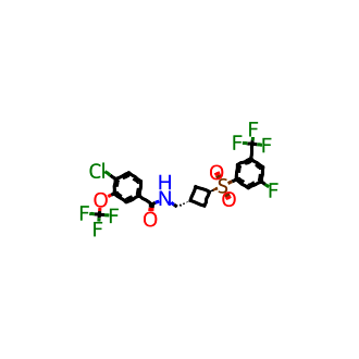 O=C(NC[C@H]1C[C@H](S(=O)(=O)c2cc(F)cc(C(F)(F)F)c2)C1)c1ccc(Cl)c(OC(F)(F)F)c1